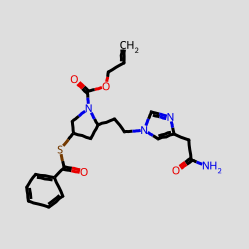 C=CCOC(=O)N1CC(SC(=O)c2ccccc2)CC1CCn1cnc(CC(N)=O)c1